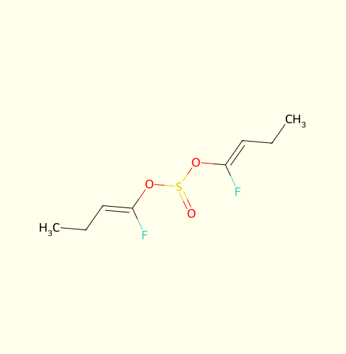 CCC=C(F)OS(=O)OC(F)=CCC